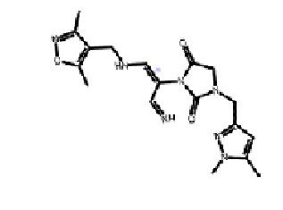 Cc1noc(C)c1CN/C=C(\C=N)N1C(=O)CN(Cc2cc(C)n(C)n2)C1=O